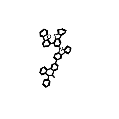 CC1c2ccc(-c3ccc4c(c3)c3ccccc3n4-c3cc(-c4cccc5c4oc4ccccc45)c4sc5ccccc5c4c3)cc2-c2ccccc2C1c1ccccc1